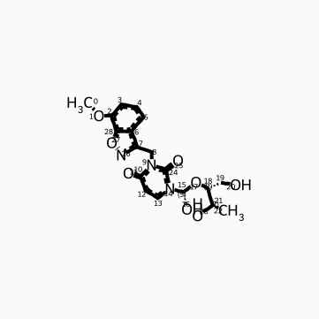 COc1cccc2c(Cn3c(=O)ccn([C@@H](O)O[C@H](CO)[C@@H](C)O)c3=O)noc12